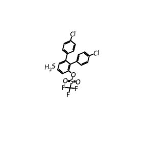 O=S(=O)(Oc1cccc(-c2ccc(Cl)cc2)c1-c1ccc(Cl)cc1)C(F)(F)F.S